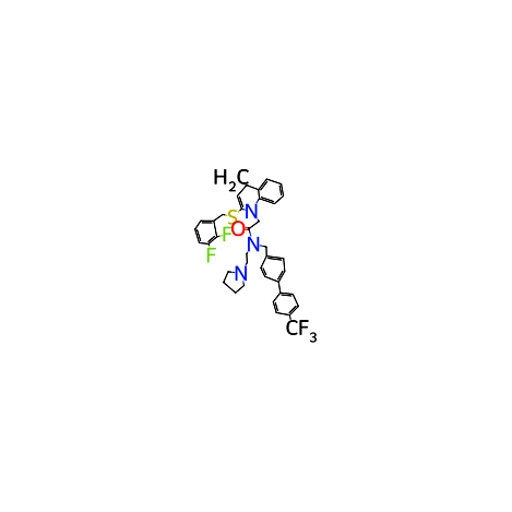 C=C1C=C(SCc2cccc(F)c2F)N(CC(=O)N(CCN2CCCC2)Cc2ccc(-c3ccc(C(F)(F)F)cc3)cc2)c2ccccc21